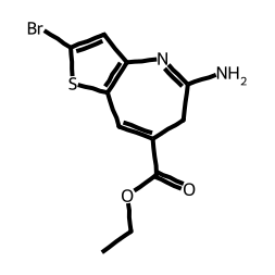 CCOC(=O)C1=Cc2sc(Br)cc2N=C(N)C1